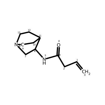 C=CCC(=O)NC1CN2CCC1CC2